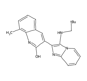 Cc1cccc2cc(-c3nc4ccccn4c3NCC(C)(C)C)c(O)nc12